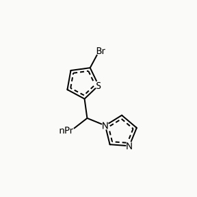 CCCC(c1ccc(Br)s1)n1ccnc1